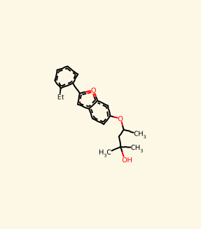 CCc1ccccc1-c1cc2ccc(OC(C)CC(C)(C)O)cc2o1